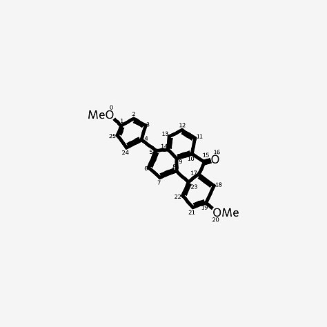 COc1ccc(-c2ccc3c4c(cccc24)C(=O)c2cc(OC)ccc2-3)cc1